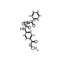 COC(=O)c1ccc(NS(=O)(=O)NC(=O)c2ccccc2)cc1